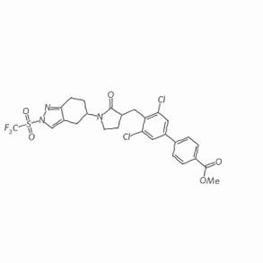 COC(=O)c1ccc(-c2cc(Cl)c(CC3CCN(C4CCc5nn(S(=O)(=O)C(F)(F)F)cc5C4)C3=O)c(Cl)c2)cc1